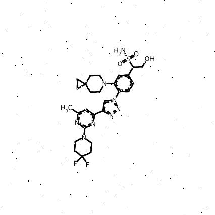 Cc1cc(-c2cn(-c3ccc(C(CO)S(N)(=O)=O)cc3N3CCC4(CC3)CC4)nn2)nc(N2CCC(F)(F)CC2)n1